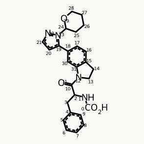 O=C(O)NC(Cc1ccccc1)C(=O)N1CCc2ccc(-c3ccnn3C3CCCCO3)cc21